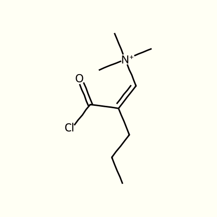 CCCC(=C[N+](C)(C)C)C(=O)Cl